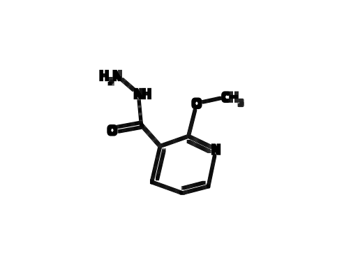 COc1ncccc1C(=O)NN